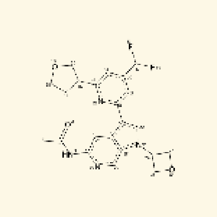 CC(=O)Nc1cc2c(-c3cc(C(F)F)cc(C4CCOC4)n3)cn(C3COC3)c2cn1